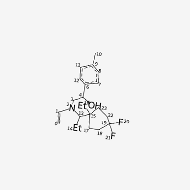 C=CN(CC(O)c1ccc(C)cc1)C(CC)C1(CC)CCC(F)(F)CC1